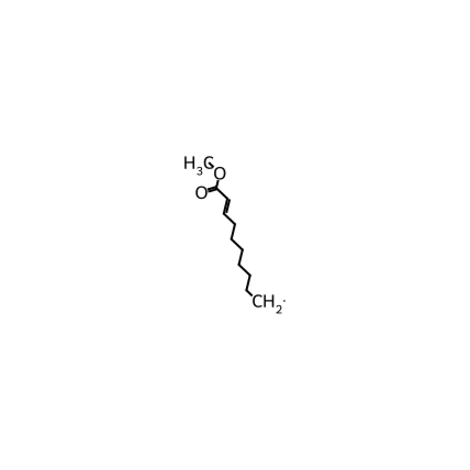 [CH2]CCCCCCC=CC(=O)OC